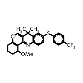 COC1CCCC2=C1C1=Nc3ccc(Sc4ccc(C(F)(F)F)cc4)cc3C(C)(C)C1=CO2